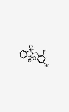 O=[N+]1c2ccccc2S(=O)(=O)C1Cc1ccc(Br)cc1F